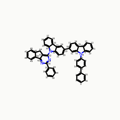 c1ccc(-c2ccc(-n3c4ccccc4c4ccc(-c5ccc6c(c5)c5ccccc5n6-c5nc(-c6ccccc6)nc6c5Cc5ccccc5-6)cc43)cc2)cc1